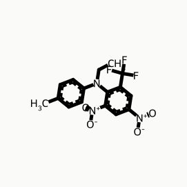 CCN(c1ccc(C)cc1)c1c([N+](=O)[O-])cc([N+](=O)[O-])cc1C(F)(F)F